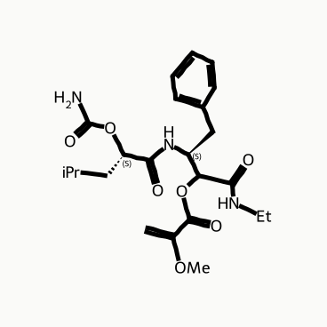 C=C(OC)C(=O)OC(C(=O)NCC)[C@H](Cc1ccccc1)NC(=O)[C@H](CC(C)C)OC(N)=O